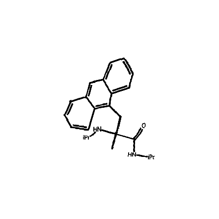 CC(C)NC(=O)C(C)(Cc1c2ccccc2cc2ccccc12)NC(C)C